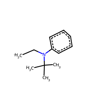 [CH2]CN(c1ccccc1)C(C)(C)C